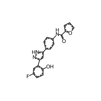 O=C(Nc1ccc(-c2cc(-c3cc(F)ccc3O)n[nH]2)cc1)c1ccco1